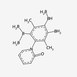 BBc1c(B)c(C)c(-n2ccccc2=O)c(B(B)B)c1C